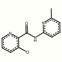 Cc1cccc(NC(=O)c2ncccc2Cl)n1